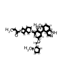 C=CC(=O)N1CC2(CCN(c3nc(OC[C@@H]4CCCN4C)cc(-c4c(C)ccc5[nH]ncc45)c3C#N)C2)C1